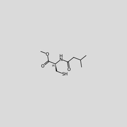 COC(=O)[C@H](CS)NC(=O)CC(C)C